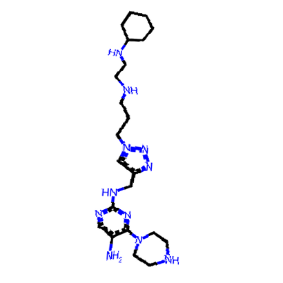 Nc1cnc(NCc2cn(CCCNCCNC3CCCCC3)nn2)nc1N1CCNCC1